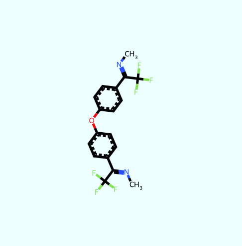 CN=C(c1ccc(Oc2ccc(C(=NC)C(F)(F)F)cc2)cc1)C(F)(F)F